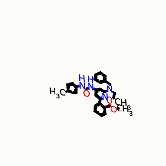 CCCN(Cc1ccccc1)c1cc(NC(=O)Nc2ccc(C)cc2)cc(-c2ccccc2C(=O)OC)n1